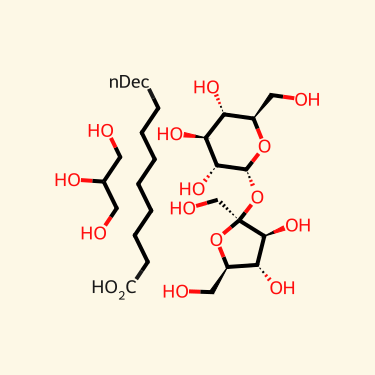 CCCCCCCCCCCCCCCCCC(=O)O.OCC(O)CO.OC[C@H]1O[C@@](CO)(O[C@H]2O[C@H](CO)[C@@H](O)[C@H](O)[C@H]2O)[C@@H](O)[C@@H]1O